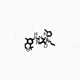 C=CCn1c(=O)c2cnc(Nc3cc(C)c4c(c3)C(C)(C)N(C)CC4)nc2n1-c1cccc(C)n1